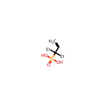 C=CC(CC)(CC)P(=O)(O)O